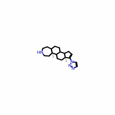 C[C@]12CCNCCC1CCC1C2CC[C@]2(C)C(n3ccnn3)=CCC12